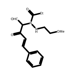 CCC(=O)N(NCCOC)C([C]=O)C(=O)C=Cc1ccccc1